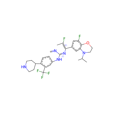 C=N/C(=N\C(=C(/C)F)c1cc(F)c2c(c1)N(C(C)C)CCO2)Nc1ccc(C2CCNCC2)c(C(F)(F)F)c1